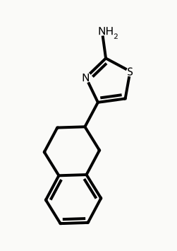 Nc1nc(C2CCc3ccccc3C2)cs1